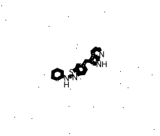 c1cnc2[nH]cc(Cc3ccc4nc(NC5CCCCC5)sc4c3)c2c1